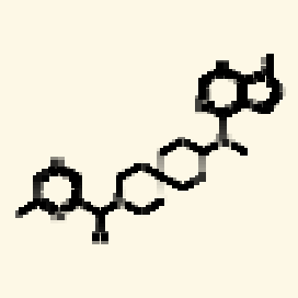 Cc1cncc(C(=O)N2CCC3(CCC(N(C)c4ncnc5[nH]ccc45)CC3)CC2)n1